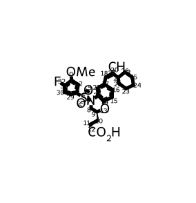 COc1cc(S(=O)(=O)N2C[C@H](CCC(=O)O)Oc3ccc(C=C(C)C4CCCCC4)cc32)ccc1F